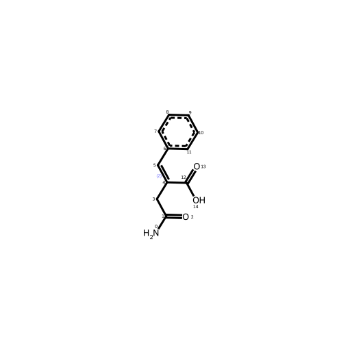 NC(=O)C/C(=C/c1ccccc1)C(=O)O